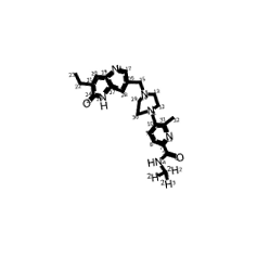 [2H]C([2H])([2H])NC(=O)c1ccc(N2CCN(Cc3cnc4cc(CC)c(=O)[nH]c4c3)CC2)c(C)n1